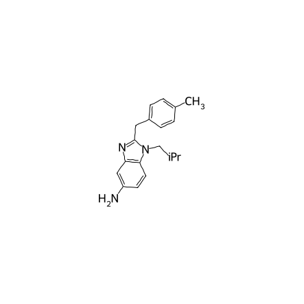 Cc1ccc(Cc2nc3cc(N)ccc3n2CC(C)C)cc1